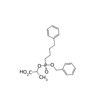 CC(OP(=O)(CCCCc1ccccc1)OCc1ccccc1)C(=O)O